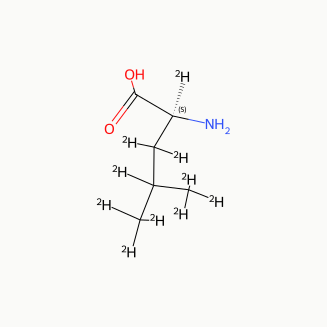 [2H]C([2H])([2H])C([2H])(C([2H])([2H])[2H])C([2H])([2H])[C@]([2H])(N)C(=O)O